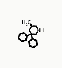 C=C1CNCC(c2ccccc2)(c2ccccc2)C1